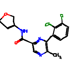 Cc1ncc(C(=O)NC2CCOC2)nc1-c1cccc(Cl)c1Cl